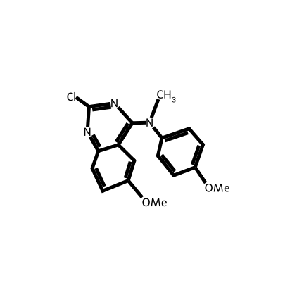 COc1ccc(N(C)c2nc(Cl)nc3ccc(OC)cc23)cc1